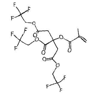 C=C(C)C(=O)OC(CC(=O)OCC(F)(F)F)(CC(=O)OCC(F)(F)F)C(=O)OCC(F)(F)F